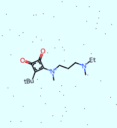 CCN(C)CCCN(C)c1c(C(C)(C)C)c(=O)c1=O